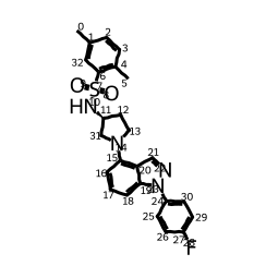 Cc1ccc(C)c(S(=O)(=O)N[C@H]2CCN(c3cccc4c3cnn4-c3ccc(F)cc3)C2)c1